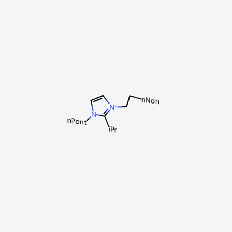 CCCCCCCCCCC[n+]1ccn(CCCCC)c1C(C)C